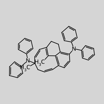 CC1=C2/C=C\C(C)(N(c3ccccc3)c3ccccc3)C/C=C\c3ccc(N(c4ccccc4)c4ccccc4)c(c31)CC2